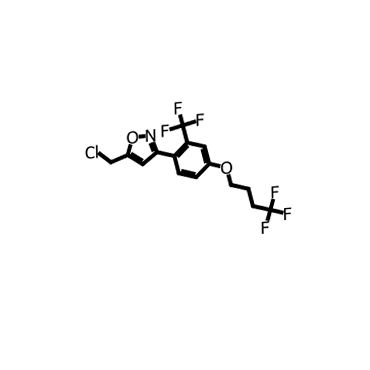 FC(F)(F)CCCOc1ccc(-c2cc(CCl)on2)c(C(F)(F)F)c1